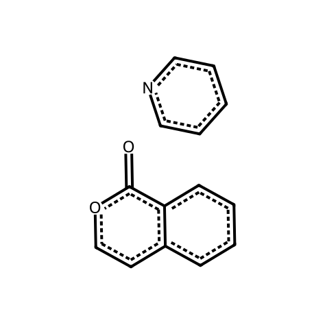 O=c1occc2ccccc12.c1ccncc1